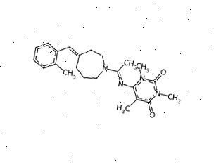 C/C(=N\c1c(C)c(=O)n(C)c(=O)n1C)N1CCC/C(=C\c2ccccc2C)CC1